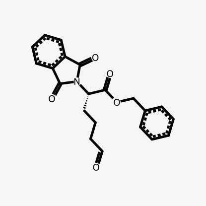 O=CCCC[C@@H](C(=O)OCc1ccccc1)N1C(=O)c2ccccc2C1=O